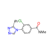 CNC(=O)c1ccc(-n2cnnc2C(C)C)c(Cl)c1